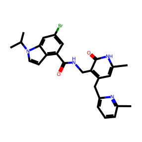 Cc1cccc(Cc2cc(C)[nH]c(=O)c2CNC(=O)c2cc(Br)cc3c2ccn3C(C)C)n1